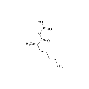 C=C(CCCCC)C(=O)OC(=O)O